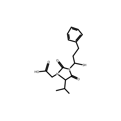 CC(C)C1C(=O)N(C(S)CCc2ccccc2)C(=O)N1CC(=O)O